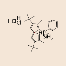 CC1=[C]([Hf]([CH3])(=[SiH2])([C]2=C(C)C(C(C)(C)C)=CC2C)[c]2ccccc2)C(C)C=C1C(C)(C)C.Cl.Cl